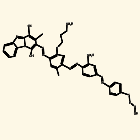 Cc1cc(N=Nc2c(C)c(C#N)c3nc4ccccc4n3c2O)c(OCCCS(=O)(=O)O)cc1N=Nc1ccc(N=Nc2ccc(SOOO)cc2)cc1S(=O)(=O)O